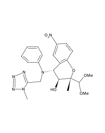 COC(OC)[C@@]1(C)Oc2ccc([N+](=O)[O-])cc2[C@@H](N(Cc2nnnn2C)c2ccccc2)[C@@H]1O